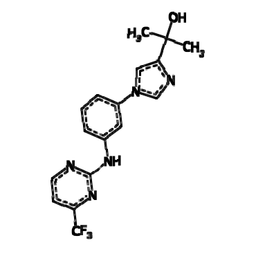 CC(C)(O)c1cn(-c2cccc(Nc3nccc(C(F)(F)F)n3)c2)cn1